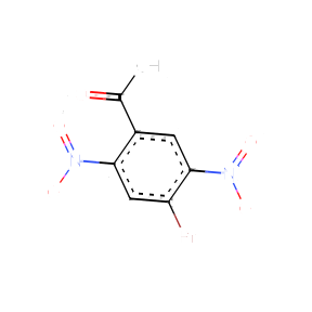 CC(=O)c1cc([N+](=O)[O-])c(Br)cc1[N+](=O)[O-]